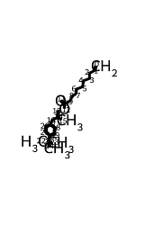 C=CCCCCCCCCC(=O)O/C=C(\C)Cc1ccc(C(C)(C)C)cc1